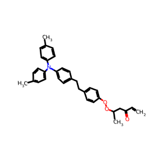 C=CC(=O)CC(C)OOc1ccc(CCc2ccc(N(c3ccc(C)cc3)c3ccc(C)cc3)cc2)cc1